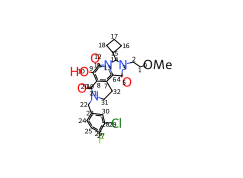 COCCN1C(=O)c2c3c(c(O)c(=O)n2C1C1CCC1)C(=O)N(Cc1ccc(F)c(Cl)c1)CC3